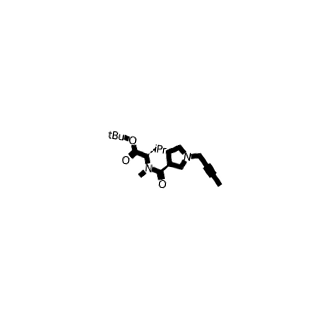 CC#CCN1CC[C@H](C(=O)N(C)[C@H](C(=O)OC(C)(C)C)C(C)C)C1